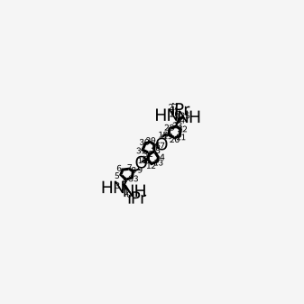 CC(C)NC(=N)c1cccc(COc2cccc3c(OCc4cccc(C(=N)NC(C)C)c4)cccc23)c1